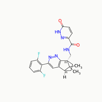 CC1(C)[C@H]2CC[C@]1(CNC(=O)c1ccc(=O)[nH]n1)c1nnc(-c3c(F)cccc3F)cc12